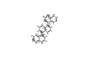 c1ccc2c(-[n+]3cccc4c3ccc[n+]4-[n+]3cccc4cnccc43)ncnc2c1